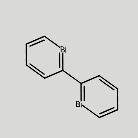 C1=[CH][Bi]=[C]([C]2=[Bi][CH]=CC=C2)C=C1